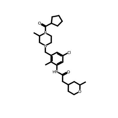 Cc1c(CN2CCN(C(=O)C3CCCC3)C(C)C2)cc(Cl)cc1NC(=O)CC1CCOC(C)C1